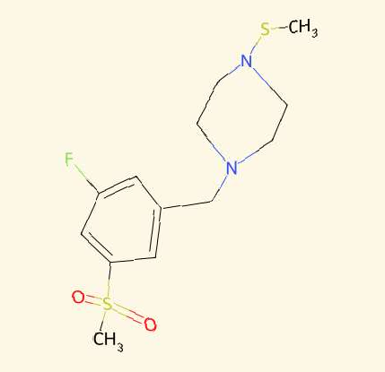 CSN1CCN(Cc2cc(F)cc(S(C)(=O)=O)c2)CC1